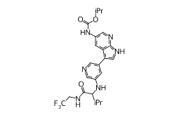 CC(C)OC(=O)Nc1cnc2[nH]cc(-c3cncc(NC(C(=O)NCC(F)(F)F)C(C)C)c3)c2c1